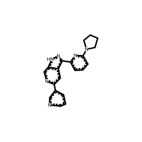 c1cncc(-c2cc3c(-c4cccc(N5CCCC5)n4)n[nH]c3cn2)c1